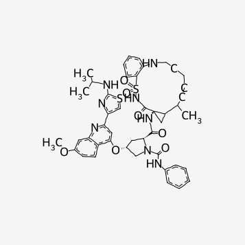 COc1ccc2c(O[C@@H]3C[C@@H](C(=O)N[C@]45CC4C(C)CCCCCNc4ccccc4S(=O)(=O)NC5=O)N(C(=O)Nc4ccccc4)C3)cc(-c3csc(NC(C)C)n3)nc2c1